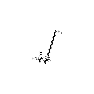 CCC(=O)O.CCC(=O)O.CCCCCCCCCCCCN.[NaH]